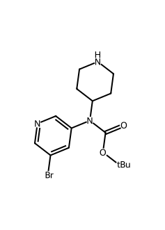 CC(C)(C)OC(=O)N(c1cncc(Br)c1)C1CCNCC1